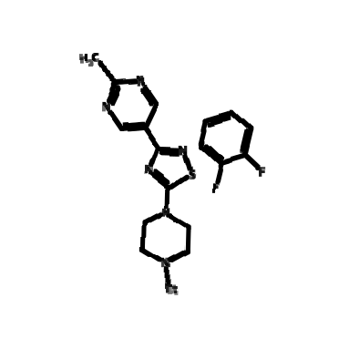 CCN1CCN(c2nc(-c3cnc(C)nc3)ns2)CC1.Fc1ccccc1F